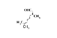 CC(C)=CCCCC(C)=CC=O